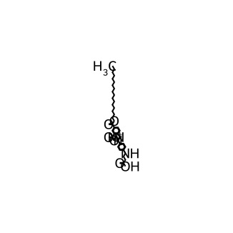 CCCCCCCCCCCCCCCCCOC(=O)c1ccc(N=Nc2ccc(NCCC(=O)O)cc2)c([N+](=O)[O-])c1